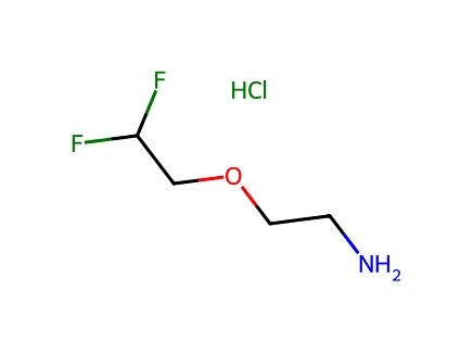 Cl.NCCOCC(F)F